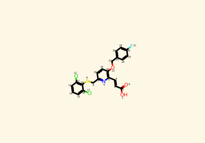 O=C(O)C=Cc1nc(CSc2c(Cl)cccc2Cl)ccc1OCc1ccc(F)cc1